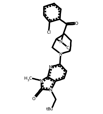 Cn1c(=O)n(CC(C)(C)C)c2ccc(N3CC4CCC3CN4C(=O)c3ccccc3Cl)nc21